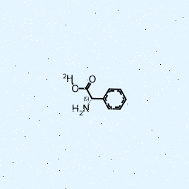 [2H]OC(=O)[C@@H](N)c1ccccc1